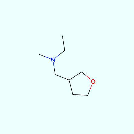 CCN(C)CC1CCOC1